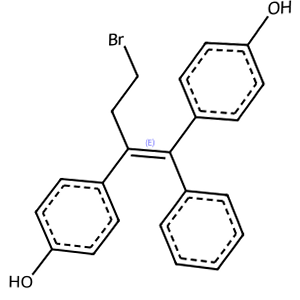 Oc1ccc(/C(CCBr)=C(\c2ccccc2)c2ccc(O)cc2)cc1